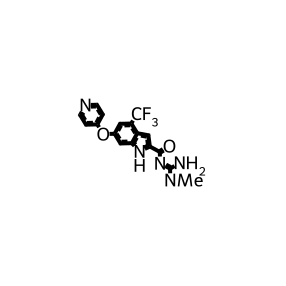 CNC(N)=NC(=O)c1cc2c(C(F)(F)F)cc(Oc3ccncc3)cc2[nH]1